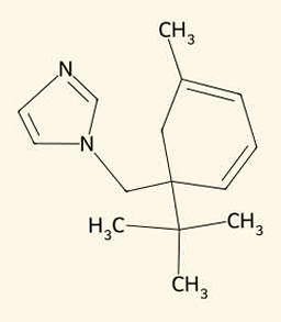 CC1=CC=CC(Cn2ccnc2)(C(C)(C)C)C1